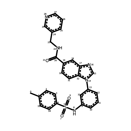 Cc1ccc(S(=O)(=O)Nc2cccc(-n3cnc4cc(C(=O)NCc5cccnc5)ccc43)c2)cc1